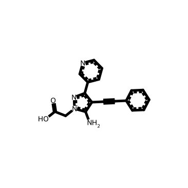 Nc1c(C#Cc2ccccc2)c(-c2cccnc2)nn1CC(=O)O